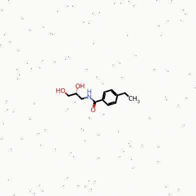 CCc1ccc(C(=O)NC[C@@H](O)CO)cc1